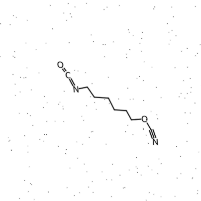 N#COCCCCCCN=C=O